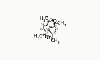 CC(=O)c1ccc(C(C)=O)c2c(C(C)=O)ccc(C(C)=O)c12